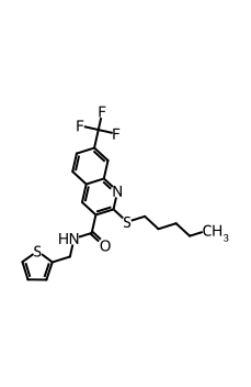 CCCCCSc1nc2cc(C(F)(F)F)ccc2cc1C(=O)NCc1cccs1